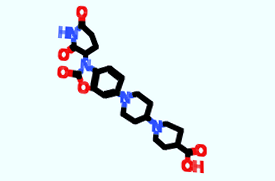 O=C1CCC(n2c(=O)oc3cc(N4CCC(N5CCC(C(=O)O)CC5)CC4)ccc32)C(=O)N1